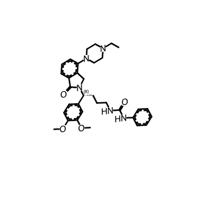 CCN1CCN(c2cccc3c2CN([C@H](CCCNC(=O)Nc2ccccc2)c2ccc(OC)c(OC)c2)C3=O)CC1